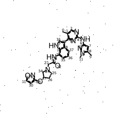 Cc1cnc(Nc2cc(C)n(C)n2)nc1-c1c[nH]c2c(NC(=O)CN3CCC(Oc4ccon4)C3)cccc12